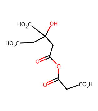 O=C(O)CC(=O)OC(=O)CC(O)(CC(=O)O)C(=O)O